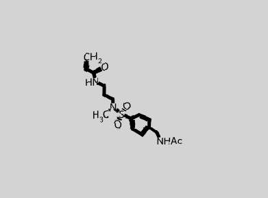 C=CC(=O)NCCCN(C)S(=O)(=O)c1ccc(CNC(C)=O)cc1